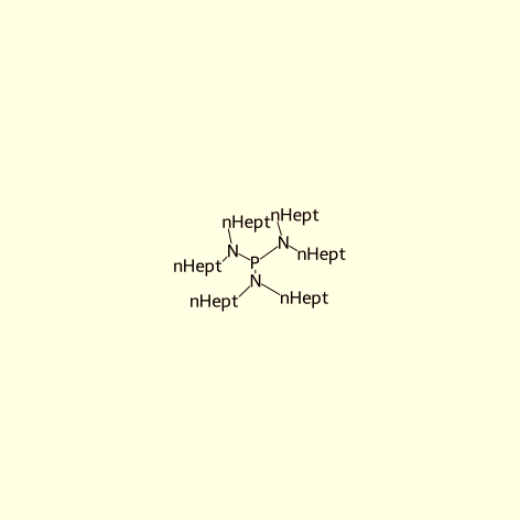 CCCCCCCN(CCCCCCC)P(N(CCCCCCC)CCCCCCC)N(CCCCCCC)CCCCCCC